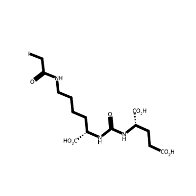 O=C(O)CC[C@H](NC(=O)N[C@@H](CCCCNC(=O)CI)C(=O)O)C(=O)O